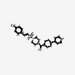 O=C(C1CCN(c2ccncc2)CC1)N1CCN(S(=O)(=O)C=Cc2ccc(Cl)cc2)CC1